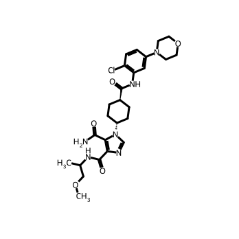 COCC(C)NC(=O)c1ncn([C@H]2CC[C@H](C(=O)Nc3cc(N4CCOCC4)ccc3Cl)CC2)c1C(N)=O